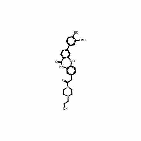 COc1cc(-c2ccc3c(c2)Nc2ccc(CC(=O)N4CCN(CCO)CC4)cc2NC3=O)ccc1[N+](=O)[O-]